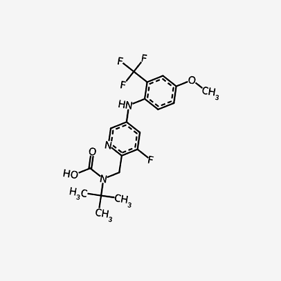 COc1ccc(Nc2cnc(CN(C(=O)O)C(C)(C)C)c(F)c2)c(C(F)(F)F)c1